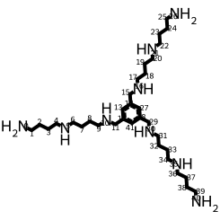 NCCCCNCCCCNCc1cc(CNCCCCNCCCCN)cc(CNCCCCNCCCCN)c1